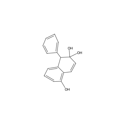 Oc1cccc2c1C=CC(O)(O)C2c1ccccc1